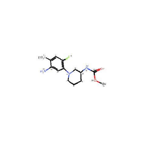 CCOC(=O)c1cc(F)c(N2CCCC(NC(=O)OC(C)(C)C)C2)cc1N